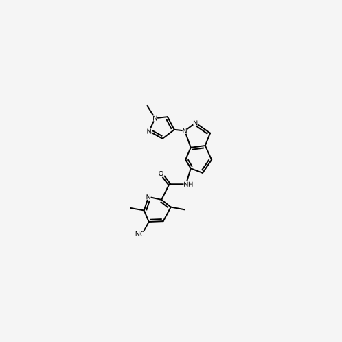 Cc1cc(C#N)c(C)nc1C(=O)Nc1ccc2cnn(-c3cnn(C)c3)c2c1